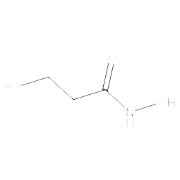 O=C(CCS)NO